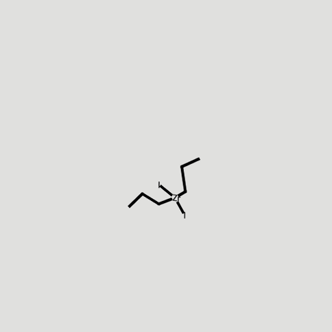 CC[CH2][Zr]([I])([I])[CH2]CC